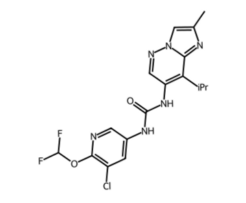 Cc1cn2ncc(NC(=O)Nc3cnc(OC(F)F)c(Cl)c3)c(C(C)C)c2n1